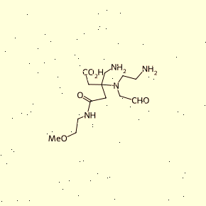 COCCNC(=O)CC(CN)(CC(=O)O)N(CC=O)CCN